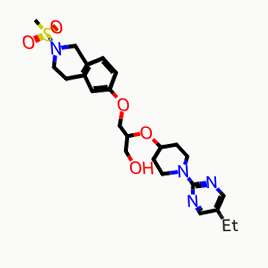 CCc1cnc(N2CCC(OC(CO)COc3ccc4c(c3)CCN(S(C)(=O)=O)C4)CC2)nc1